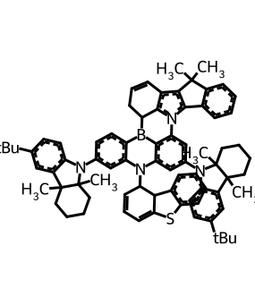 CC(C)(C)c1ccc2c(c1)C1(C)CCCCC1(C)N2c1ccc2c(c1)N(C1C=CC=C3Sc4ccccc4C31)c1cc(N3c4ccc(C(C)(C)C)cc4C4(C)CCCCC34C)cc3c1B2C1CC=Cc2c4c(n-3c21)-c1ccccc1C4(C)C